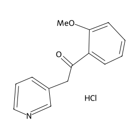 COc1ccccc1C(=O)Cc1cccnc1.Cl